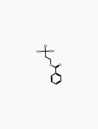 CCC(O)(O)CCOC(=O)c1ccccc1